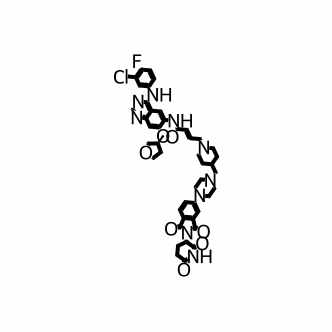 O=C(/C=C/CN1CCC(CN2CCN(c3ccc4c(c3)C(=O)N(C3CCC(=O)NC3=O)C4=O)CC2)CC1)Nc1cc2c(Nc3ccc(F)c(Cl)c3)ncnc2cc1O[C@H]1CCOC1